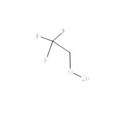 FC(F)(F)C[O][Zn]